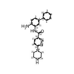 Nc1ccc(-c2ccccc2)cc1NC(=O)c1ccc(N2CCNCC2)nn1